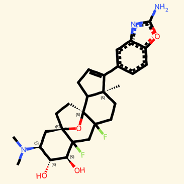 CN(C)[C@H]1C[C@@]23CC[C@]4(O2)C2CC=C(c5ccc6oc(N)nc6c5)[C@@]2(C)CCC4(F)CC3(F)[C@@H](O)[C@@H]1O